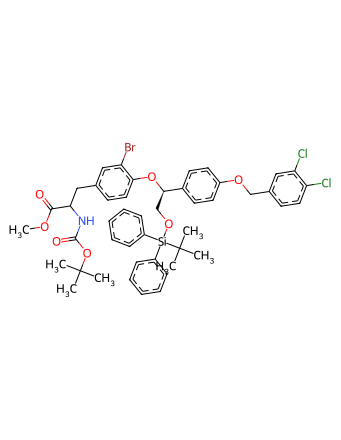 COC(=O)C(Cc1ccc(O[C@H](CO[Si](c2ccccc2)(c2ccccc2)C(C)(C)C)c2ccc(OCc3ccc(Cl)c(Cl)c3)cc2)c(Br)c1)NC(=O)OC(C)(C)C